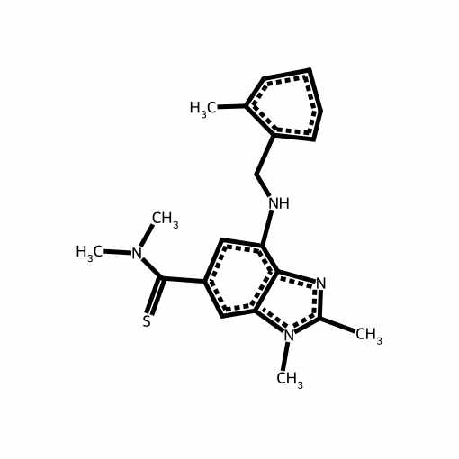 Cc1ccccc1CNc1cc(C(=S)N(C)C)cc2c1nc(C)n2C